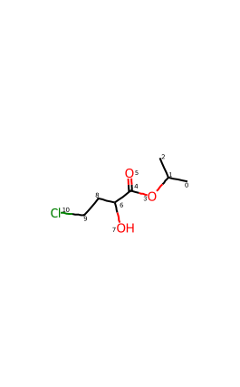 CC(C)OC(=O)C(O)CCCl